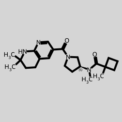 CN(C(=O)C1(C)CCC1)[C@H]1CCN(C(=O)c2cnc3c(c2)CCC(C)(C)N3)C1